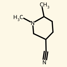 CC1CCC(C#N)CN1C